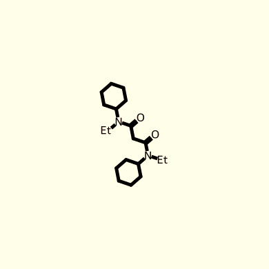 CCN(C(=O)CC(=O)N(CC)C1CCCCC1)C1CCCCC1